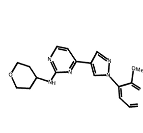 COc1ccccc1-n1cc(-c2ccnc(NC3CCOCC3)n2)cn1